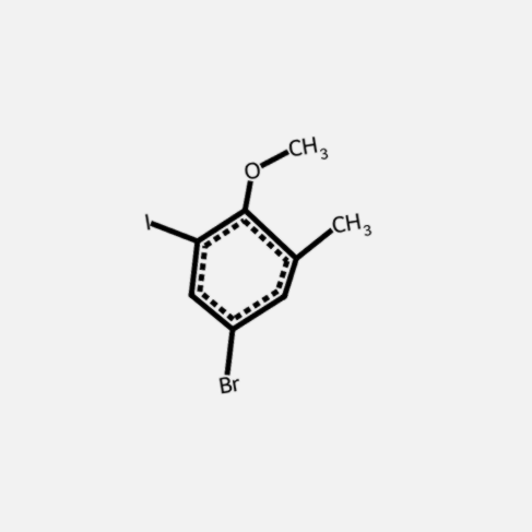 COc1c(C)cc(Br)cc1I